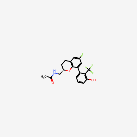 CC(=O)NC[C@H]1CCc2cc(F)cc(-c3cccc(O)c3C(F)(F)F)c2O1